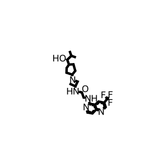 CC(C)[C@@H](O)C1CCC(N2CC(NC(=O)CNc3nccc4ncc(C(F)(F)F)cc34)C2)CC1